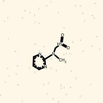 CN(C[SH](=O)=O)c1ncccn1